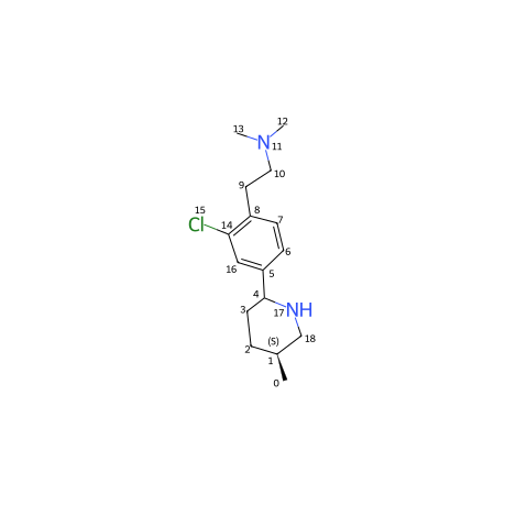 C[C@H]1CCC(c2ccc(CCN(C)C)c(Cl)c2)NC1